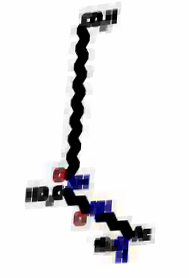 CC(=O)[C@H](CCCCNC(=O)CC[C@H](NC(=O)CCCCCCCCCCCCCCCCC(=O)O)C(=O)O)NC(C)(C)C